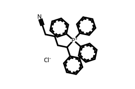 N#CCCCC(c1ccccc1)[P+](c1ccccc1)(c1ccccc1)c1ccccc1.[Cl-]